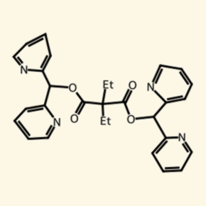 CCC(CC)(C(=O)OC(c1ccccn1)c1ccccn1)C(=O)OC(c1ccccn1)c1ccccn1